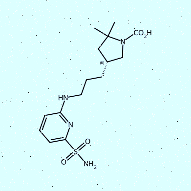 CC1(C)C[C@@H](CCCNc2cccc(S(N)(=O)=O)n2)CN1C(=O)O